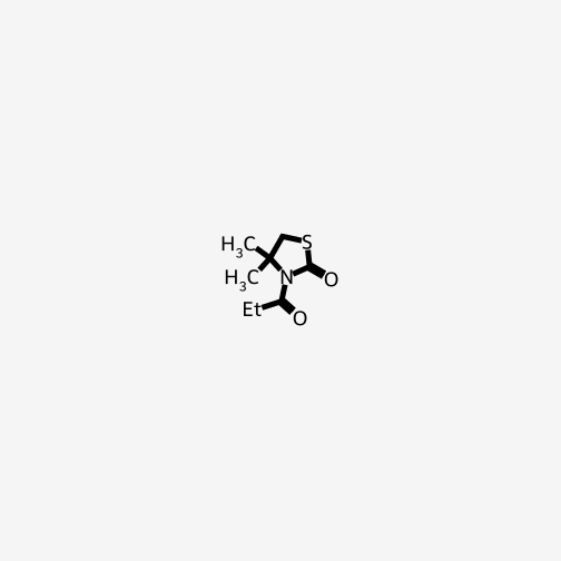 CCC(=O)N1C(=O)SCC1(C)C